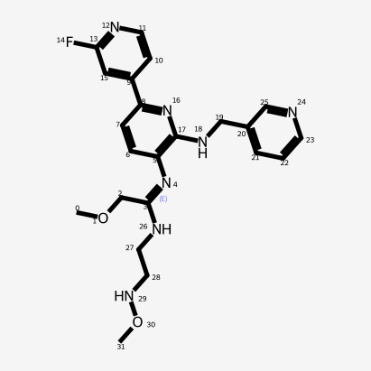 COC/C(=N\c1ccc(-c2ccnc(F)c2)nc1NCc1cccnc1)NCCNOC